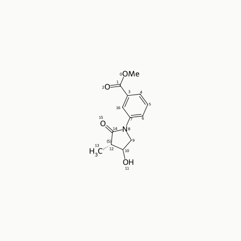 COC(=O)c1cccc(N2CC(O)[C@H](C)C2=O)c1